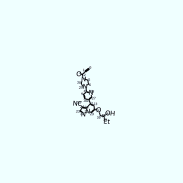 C#CC(=O)N1CCN(c2ccc(-c3cc(OC[C@@H](O)CC)cn4ncc(C#N)c34)cn2)CC1